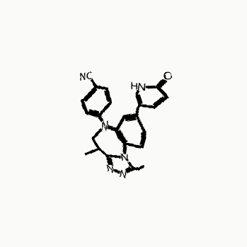 Cc1nnc2n1-c1ccc(-c3ccc(=O)[nH]c3)cc1N(c1ccc(C#N)cc1)CC2C